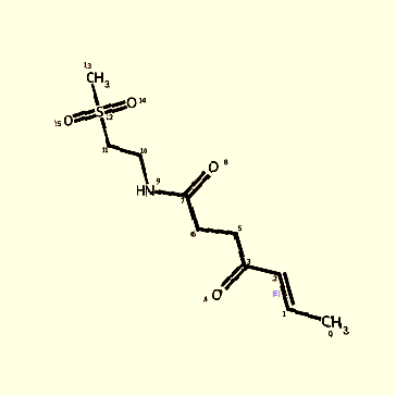 C/C=C/C(=O)CCC(=O)NCCS(C)(=O)=O